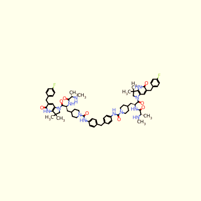 CN[C@@H](C)C(=O)N[C@@H](CC1CCN(C(=O)Nc2ccc(Cc3ccc(NC(=O)N4CCC(C[C@H](NC(=O)[C@H](C)NC)C(=O)N5CC(C)(C)c6[nH]c(=O)c(Cc7ccc(F)cc7)cc65)CC4)cc3)cc2)CC1)C(=O)N1CC(C)(C)c2[nH]c(=O)c(Cc3ccc(F)cc3)cc21